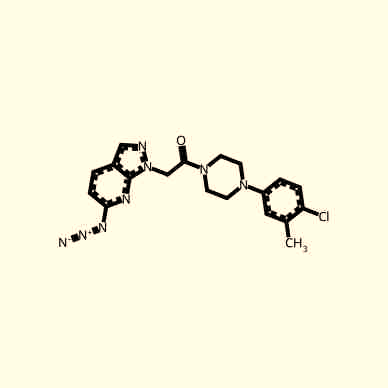 Cc1cc(N2CCN(C(=O)Cn3ncc4ccc(N=[N+]=[N-])nc43)CC2)ccc1Cl